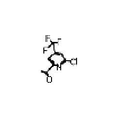 CC(=O)c1cc(C(F)(F)F)cc(Cl)n1